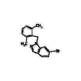 Cc1cccc(C)c1Cn1ncc2ccc(Br)cc21